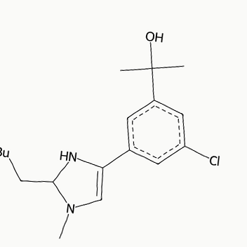 CN1C=C(c2cc(Cl)cc(C(C)(C)O)c2)NC1CC(C)(C)C